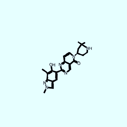 Cc1c(O)c(-c2ncc3c(=O)n([C@@H]4CCNC(C)(C)C4)ccc3n2)cc2cn(C)nc12